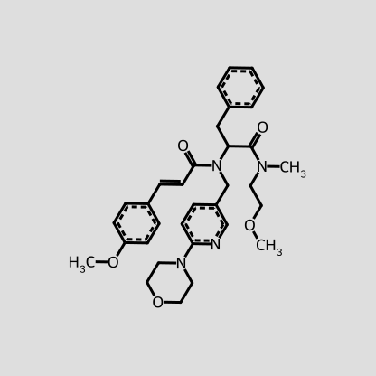 COCCN(C)C(=O)C(Cc1ccccc1)N(Cc1ccc(N2CCOCC2)nc1)C(=O)C=Cc1ccc(OC)cc1